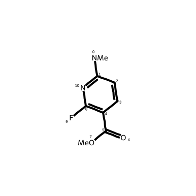 CNc1ccc(C(=O)OC)c(F)n1